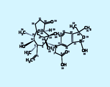 C=C[C@]1(C)C[C@@H](N(CC(=O)O)c2ccc3c(c2)B(O)OC3(C)C)[C@]2(C)[C@H](C)CC[C@]3(CCC(=O)[C@H]32)[C@@H](C)[C@@H]1O